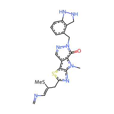 C=N/C=C(/Cc1nc2c(s1)c1cnn(Cc3cccc4c3CNN4)c(=O)c1n2C)SC